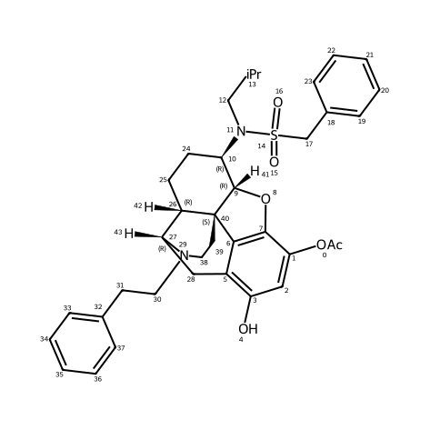 CC(=O)Oc1cc(O)c2c3c1O[C@H]1[C@H](N(CC(C)C)S(=O)(=O)Cc4ccccc4)CC[C@H]4[C@@H](C2)N(CCc2ccccc2)CC[C@@]341